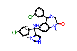 CN1C(=O)CN=C(c2cccc(Cl)c2)c2cc(C(N)(c3ccc(Cl)cc3)c3cncn3C)ccc21